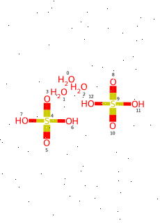 O.O.O.O=S(=O)(O)O.O=S(=O)(O)O